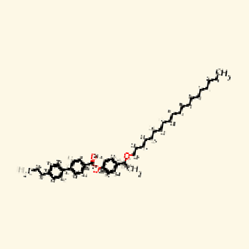 CCCCCCCCCCCCCCCCCCCCOC(C)c1ccc(OC(=O)c2ccc(-c3ccc(CCC)cc3)cc2)cc1